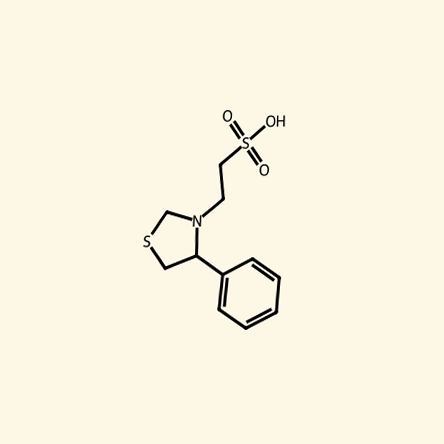 O=S(=O)(O)CCN1CSCC1c1ccccc1